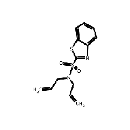 C=CCN(CC=C)S(=O)(=O)c1nc2ccccc2s1